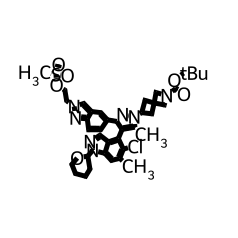 Cc1cc2c(cnn2C2CCCCO2)c(-c2c(-c3ccc4nn(CCOS(C)(=O)=O)cc4c3)nn(C3CC4(C3)CN(C(=O)OC(C)(C)C)C4)c2C)c1Cl